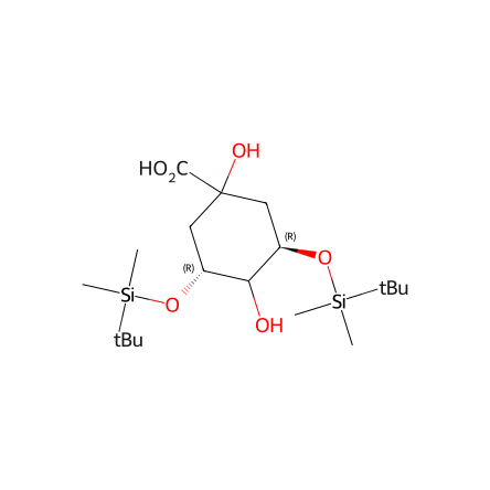 CC(C)(C)[Si](C)(C)O[C@@H]1CC(O)(C(=O)O)C[C@@H](O[Si](C)(C)C(C)(C)C)C1O